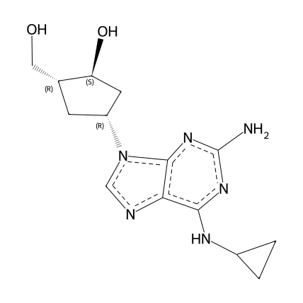 Nc1nc(NC2CC2)c2ncn([C@@H]3C[C@H](CO)[C@@H](O)C3)c2n1